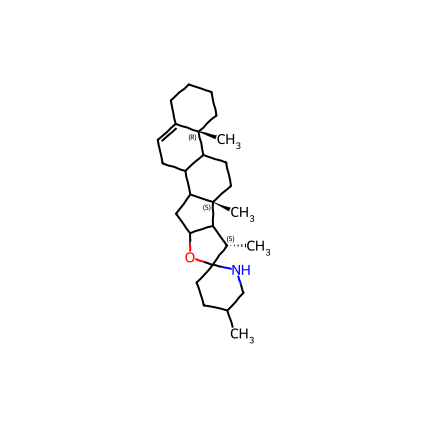 CC1CCC2(NC1)OC1CC3C4CC=C5CCCC[C@]5(C)C4CC[C@]3(C)C1[C@@H]2C